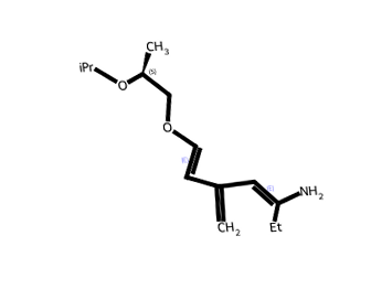 C=C(/C=C/OC[C@H](C)OC(C)C)/C=C(/N)CC